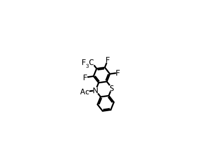 CC(=O)N1c2ccccc2Sc2c(F)c(F)c(C(F)(F)F)c(F)c21